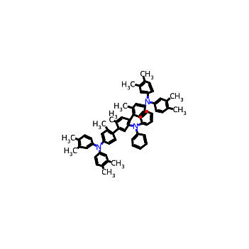 Cc1ccc(N(c2ccc(C)c(C)c2)c2ccc(-c3cc(N(c4ccccc4)c4ccccc4)c(-c4ccc(N(c5ccc(C)c(C)c5)c5ccc(C)c(C)c5)cc4C)cc3C)c(C)c2)cc1C